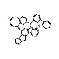 C=C1/C=C\C=C/Cc2ccc(C(c3cccc4c5c(n(-c6ccccc6)c34)CCC=C5)N(N)c3ccc4c(c3)CC3=C4CC=C3)cc21